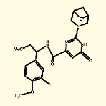 COCC(NC(=O)c1cc(=O)[nH]c(N2CC3CC(C2)O3)n1)c1ccc(OC(F)(F)F)c(F)c1